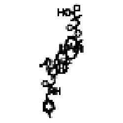 C=C(C)[C@@H]1C[C@@H](CC(=O)NCc2ccc(C)cc2)C2CC[C@]3(C)[C@H](CC[C@@H]4[C@@]5(C)CC[C@H](OC(=O)CC(C)(C)C(=O)O)C(C)(C)[C@@H]5CC[C@]43C)[C@H]21